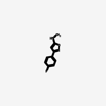 CNc1cc(-c2ccc(F)cc2)no1